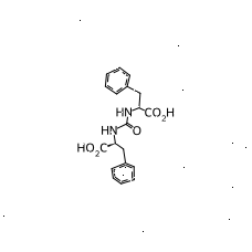 O=C(NC(Cc1ccccc1)C(=O)O)N[C@@H](Cc1ccccc1)C(=O)O